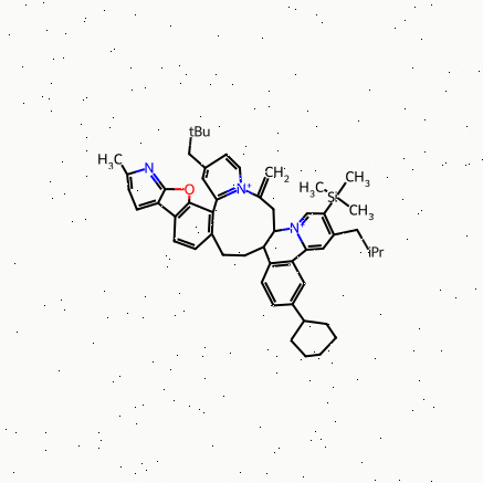 C=C1CC2C(CCc3ccc4c(oc5nc(C)ccc54)c3-c3cc(CC(C)(C)C)cc[n+]31)c1ccc(C3CCCCC3)cc1-c1cc(CC(C)C)c([Si](C)(C)C)c[n+]12